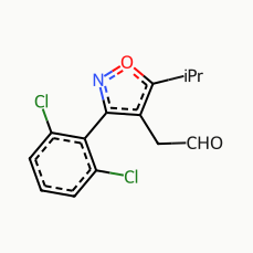 CC(C)c1onc(-c2c(Cl)cccc2Cl)c1CC=O